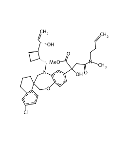 C=CCCN(C)C(=O)CC(O)(C(=O)OC)c1ccc2c(c1)N(C[C@@H]1CC[C@H]1[C@@H](O)C=C)CC1(CCCc3cc(Cl)ccc31)CO2